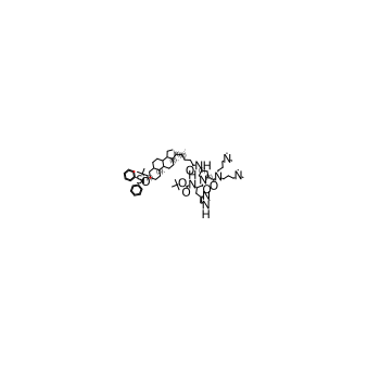 C[C@H](CCC(=O)N[C@H]1C[C@@H](C(=O)N(CCCN(C)C)CCCN(C)C)N(C(=O)C(Cc2c[nH]cn2)NC(=O)OC(C)(C)C)C1)[C@H]1CCC2C3CCC4C[C@H](O[Si](c5ccccc5)(c5ccccc5)C(C)(C)C)CC[C@]4(C)C3CC[C@@]21C